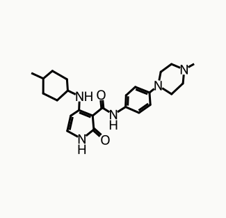 CC1CCC(Nc2cc[nH]c(=O)c2C(=O)Nc2ccc(N3CCN(C)CC3)cc2)CC1